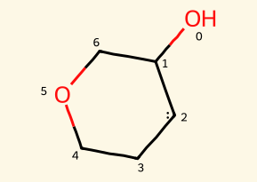 OC1[C]CCOC1